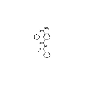 COC(NC(=O)c1cccc(C(N)=O)c1C1CCCC1)c1ccccc1